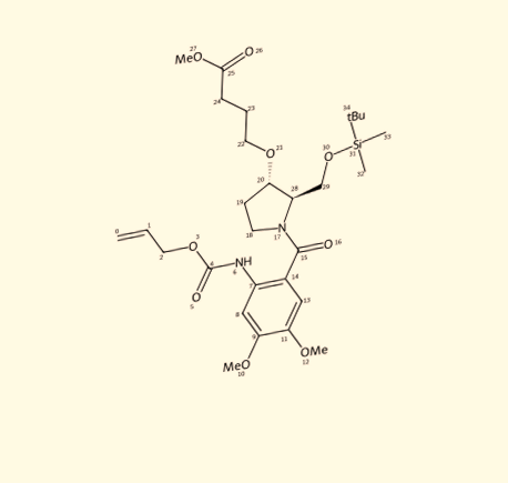 C=CCOC(=O)Nc1cc(OC)c(OC)cc1C(=O)N1CC[C@H](OCCCC(=O)OC)[C@H]1CO[Si](C)(C)C(C)(C)C